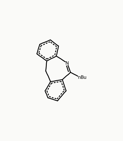 CCCCC1=Nc2ccccc2Cc2ccccc21